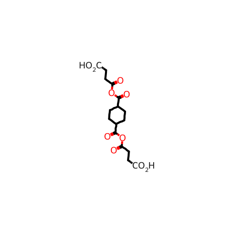 O=C(O)CCC(=O)OC(=O)C1CCC(C(=O)OC(=O)CCC(=O)O)CC1